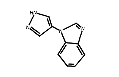 c1ccc2c(c1)ncn2-c1cn[nH]c1